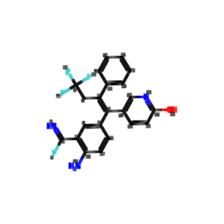 N=C(F)c1cc(/C(=C(\CC(F)(F)F)c2ccccc2)c2ccc(O)nc2)ccc1N